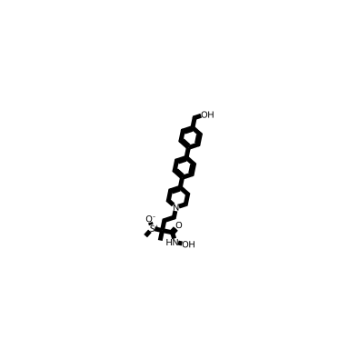 C[S+]([O-])C(C)(CCN1CC=C(c2ccc(-c3ccc(CO)cc3)cc2)CC1)C(=O)NO